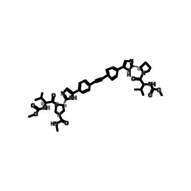 CNC(=O)N1C[C@@H](c2ncc(-c3ccc(C#Cc4ccc(-c5cnc([C@@H]6CCCN6C(=O)C(NC(=O)OC)C(C)C)[nH]5)cc4)cc3)[nH]2)N(C(=O)[C@@H](NC(=O)OC)C(C)C)C1